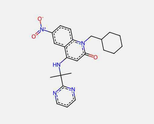 CC(C)(Nc1cc(=O)n(CC2CCCCC2)c2ccc([N+](=O)[O-])cc12)c1ncccn1